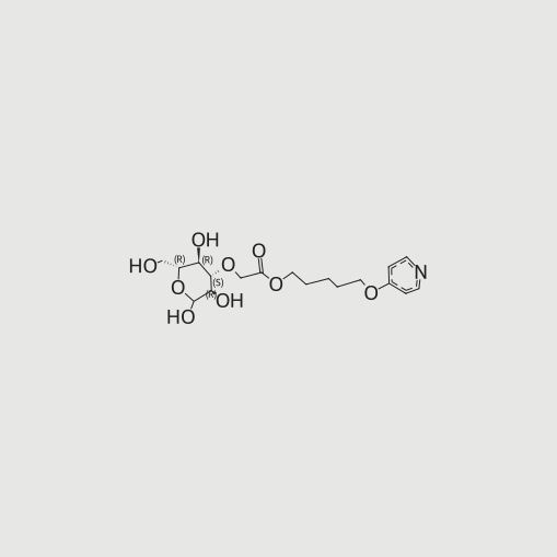 O=C(CO[C@H]1[C@H](O)[C@@H](CO)OC(O)[C@@H]1O)OCCCCCOc1ccncc1